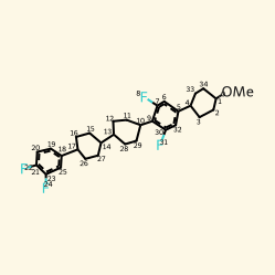 COC1CCC(c2cc(F)c(C3CCC(C4CCC(c5ccc(F)c(F)c5)CC4)CC3)c(F)c2)CC1